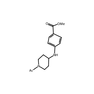 COC(=O)c1ccc(NC2CCN(C(C)=O)CC2)cc1